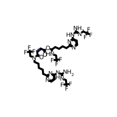 NC(=NCC(F)(F)F)Nc1ccnc(CCCCCN(CC(F)(F)F)C(=O)/C=C\C(=O)OC(CCCCc2nccc(NC(N)=NCC(F)(F)F)n2)NCC(F)(F)F)n1